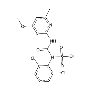 COc1cc(C)nc(NC(=O)N(c2c(Cl)cccc2Cl)S(=O)(=O)O)n1